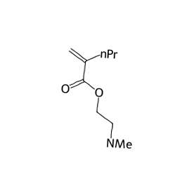 C=C(CCC)C(=O)OCCNC